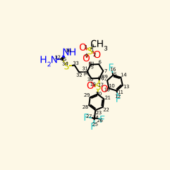 CS(=O)(=O)O[C@@H]1CC[C@@](C2CC(F)=CC=C2F)(S(=O)(=O)c2ccc(C(F)(F)F)cc2)C[C@H]1CCSC(=N)N